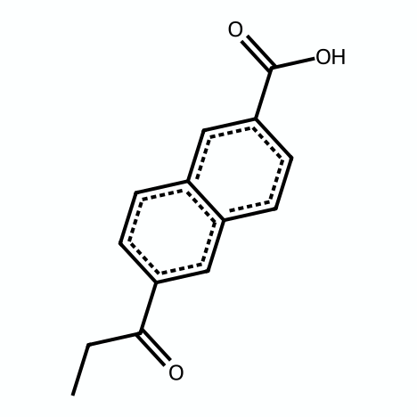 CCC(=O)c1ccc2cc(C(=O)O)ccc2c1